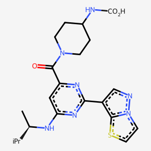 CC(C)[C@@H](C)Nc1cc(C(=O)N2CCC(NC(=O)O)CC2)nc(-c2cnn3ccsc23)n1